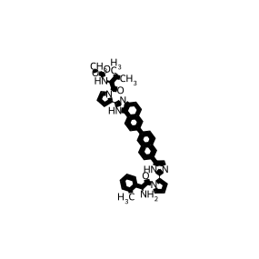 COC(=O)N[C@H](C(=O)N1CCC[C@H]1c1nc2c([nH]1)-c1ccc(-c3ccc4cc(-c5cnc([C@@H]6CCCN6C(=O)[C@H](N)C6C=CC=CC6C)[nH]5)ccc4c3)cc1CC2)C(C)C